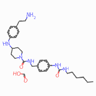 CCCCCCNC(=O)Nc1ccc(CNC(=O)N2CCC(Nc3ccc(CCN)cc3)CC2)cc1.O=CO